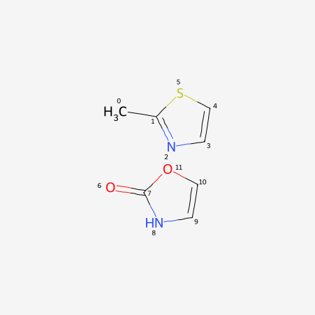 Cc1nccs1.O=c1[nH]cco1